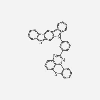 c1cc(-c2nc3c4c(cccc4n2)Sc2ccccc2-3)cc(-n2c3ccccc3c3cc4c(cc32)sc2ccccc24)c1